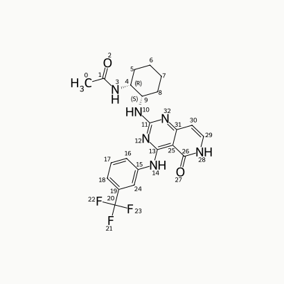 CC(=O)N[C@@H]1CCCC[C@@H]1Nc1nc(Nc2cccc(C(F)(F)F)c2)c2c(=O)[nH]ccc2n1